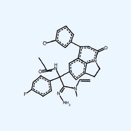 C=CN(C)/C(=N\N)C(NC(C)=O)(c1ccc(F)cc1)c1cc2c3c(c1)c(-c1cccc(Cl)c1)cc(=O)n3CC2